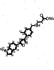 COC(=O)CCNCc1ccc(-c2noc(-c3ccc4c(ccn4C(C)C)c3)n2)c(C)c1